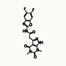 Cn1c(=O)c2c(CC(=O)Nc3nc4cc(F)c(F)cc4o3)n[nH]c2n(C)c1=O